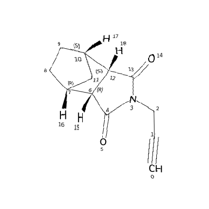 C#CCN1C(=O)[C@@H]2[C@@H]3CC[C@@H](C3)[C@@H]2C1=O